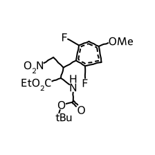 CCOC(=O)C(NC(=O)OC(C)(C)C)C(C[N+](=O)[O-])c1c(F)cc(OC)cc1F